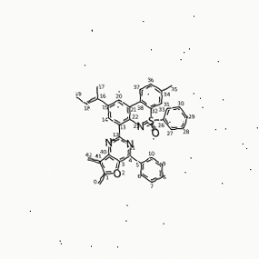 C=c1oc2c(-c3ccccc3)nc(-c3cc(/C(C)=C/C)cc4c3N=S(=O)(c3ccccc3)c3cc(C)ccc3-4)nc2c1=C